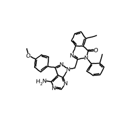 COc1ccc(-c2nn(Cc3nc4cccc(C)c4c(=O)n3-c3ccccc3C)c3ncnc(N)c23)cc1